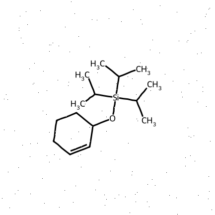 CC(C)[Si](OC1C=CCCC1)(C(C)C)C(C)C